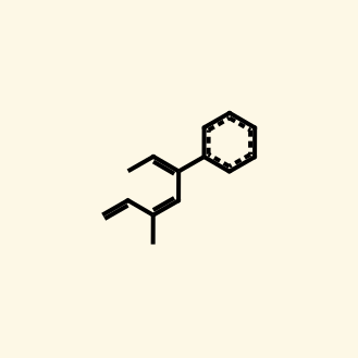 C=C/C(C)=C\C(=C/C)c1ccccc1